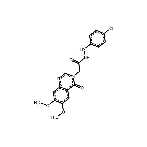 COc1cc2ncn(CC(=O)NNc3ccc(Cl)cc3)c(=O)c2cc1OC